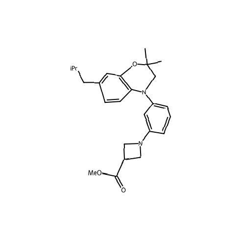 COC(=O)C1CN(c2cccc(N3CC(C)(C)Oc4cc(CC(C)C)ccc43)c2)C1